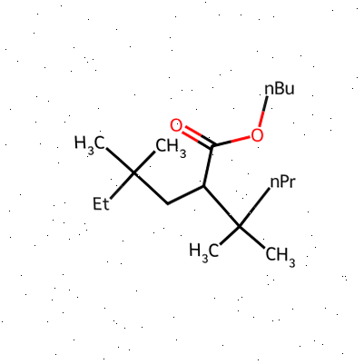 CCCCOC(=O)C(CC(C)(C)CC)C(C)(C)CCC